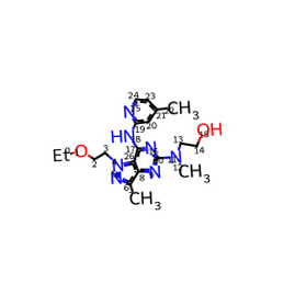 CCOCCn1nc(C)c2nc(N(C)CCO)nc(Nc3cc(C)ccn3)c21